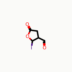 O=CC1CC(=O)OC1I